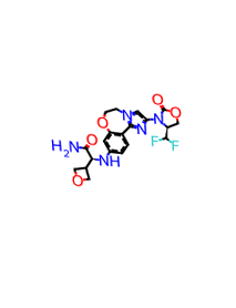 NC(=O)[C@@H](Nc1ccc2c(c1)OCCn1cc(N3C(=O)OC[C@H]3C(F)F)nc1-2)C1COC1